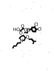 CCCCCN1CC[C@H](CCOc2ccc(Cl)c(Cl)c2)[C@@H](OCC=C(C)C)C1.O=C(O)C(=O)O